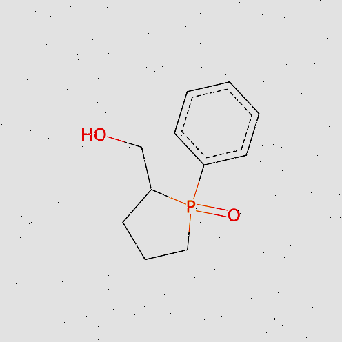 O=P1(c2ccccc2)CCCC1CO